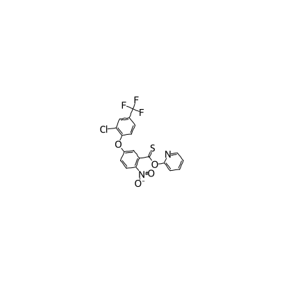 O=[N+]([O-])c1ccc(Oc2ccc(C(F)(F)F)cc2Cl)cc1C(=S)Oc1ccccn1